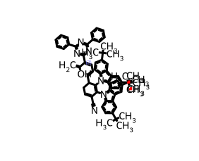 C=C(O)/C(=C\C=CC1CC=C(C#N)C(n2c3ccc(C(C)(C)C)cc3c3cc(C(C)(C)C)ccc32)=C1n1c2ccc(C(C)(C)C)cc2c2cc(C(C)(C)C)ccc21)c1nc(-c2ccccc2)nc(-c2ccccc2)n1